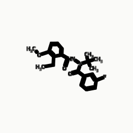 CCc1c(OC)cccc1C(=O)NN(C(=O)c1cccc(F)c1)C(C)(C)C